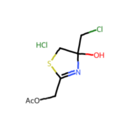 CC(=O)OCC1=NC(O)(CCl)CS1.Cl